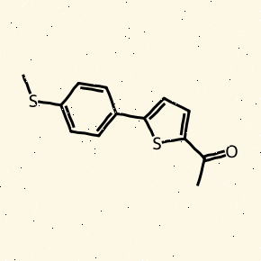 CSc1ccc(-c2ccc(C(C)=O)s2)cc1